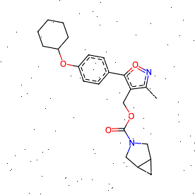 Cc1noc(-c2ccc(OC3CCCCC3)cc2)c1COC(=O)N1CC2CC2C1